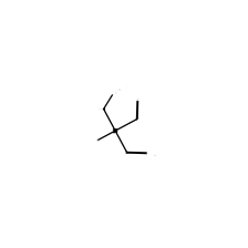 CCC(CS)(CS)CS